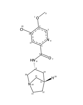 COc1cnc(C(=O)N[C@@H]2C[C@@H]3CCN(C3)C2)cc1Cl